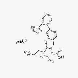 CCCCC(=O)N(Cc1ccc(-c2ccccc2-c2nnn[nH]2)cc1)[C@H](C(=O)O)C(C)C.O.[NaH]